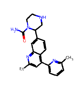 CCc1cc(-c2cccc(C)n2)c2ccc(C3CNCCN3C(N)=O)cc2n1